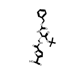 CC(C)(C)OC(=O)[C@H](CNC(=O)c1ccc(C(=O)O)s1)NC(=O)OCc1ccccc1